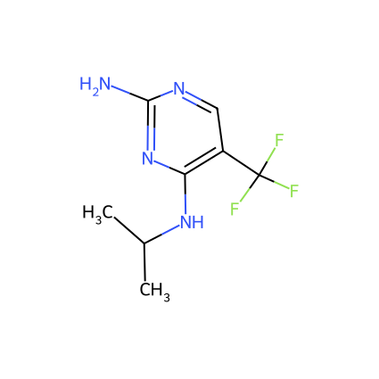 CC(C)Nc1nc(N)ncc1C(F)(F)F